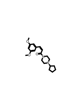 COc1cc(/C=C\C(=O)N2CCN(C3CCCC3)CC2)cc(OC)c1